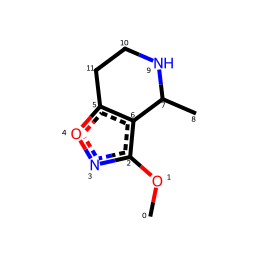 COc1noc2c1C(C)NCC2